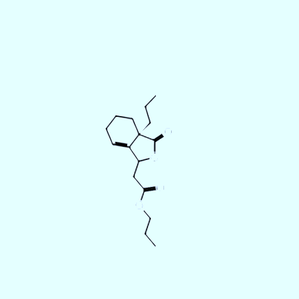 CCCOC(=O)CC1OC(=O)[C@@]2(CCC)CCCC=C12